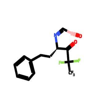 O=B/C=N\[C@@H](CCc1ccccc1)C(=O)C(F)(F)C(F)(F)F